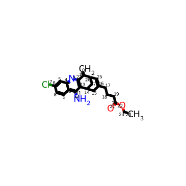 C=C1c2nc3cc(Cl)ccc3c(N)c2C2CC(CCCC(=O)OCC)=CC1C2